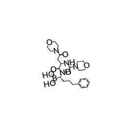 O=C(N[C@@H](CCCc1ccccc1)B(O)O)C(CC(=O)N1CCOCC1)NC(=O)N1CCOCC1